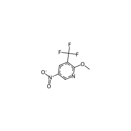 COc1ncc([N+](=O)[O-])cc1C(F)(F)F